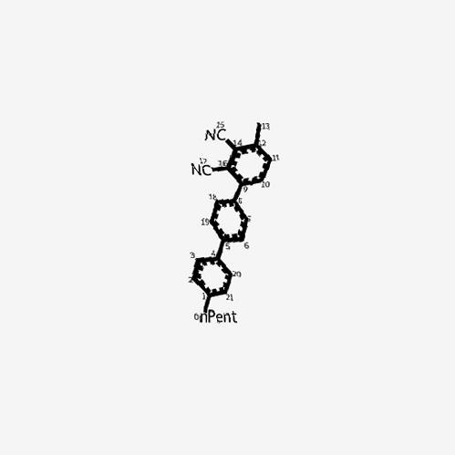 CCCCCc1ccc(-c2ccc(-c3ccc(C)c(C#N)c3C#N)cc2)cc1